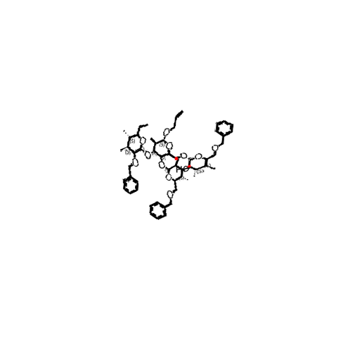 C=CCO[C@H]1OC(CO[C@@H]2OC(COCc3ccccc3)[C@@H](C)[C@H](C)C2O)[C@@H](O[C@@H]2OC(COCc3ccccc3)[C@@H](C)[C@H](C)C2C)[C@H](O[C@@H]2OC(CC)[C@@H](C)[C@H](C)C2OCc2ccccc2)C1C